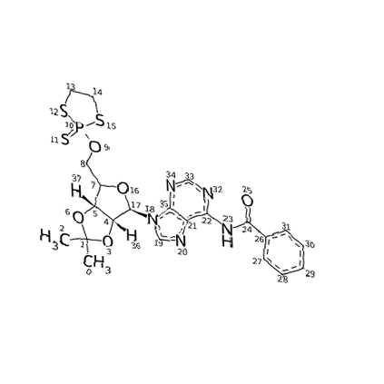 CC1(C)O[C@@H]2[C@H](O1)C(COP1(=S)SCCS1)O[C@H]2n1cnc2c(NC(=O)c3ccccc3)ncnc21